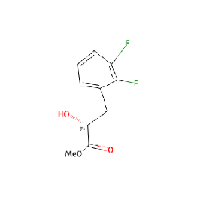 COC(=O)[C@H](O)Cc1cccc(F)c1F